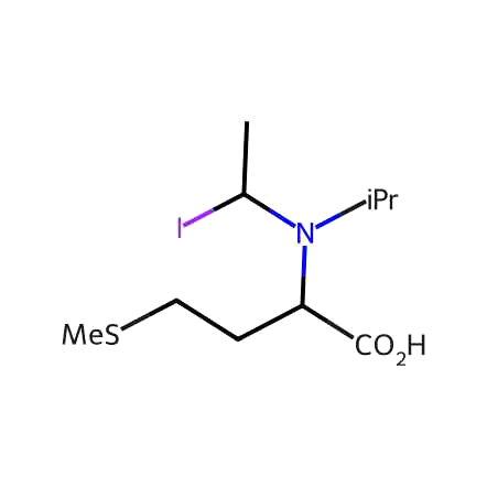 CSCCC(C(=O)O)N(C(C)C)C(C)I